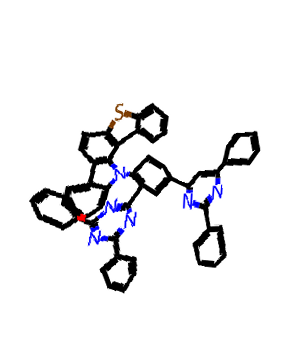 c1ccc(-c2cc(-c3ccc(-n4c5ccccc5c5ccc6sc7ccccc7c6c54)c(-c4nc(-c5ccccc5)nc(-c5ccccc5)n4)c3)nc(-c3ccccc3)n2)cc1